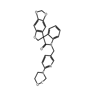 O=C1N(Cc2ccc(N3CCOCC3)nc2)c2ccccc2C12COc1cc3c(cc12)OCO3